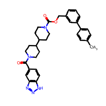 Cc1ccc(-c2cccc(COC(=O)N3CCC(C4CCN(C(=O)c5ccc6[nH]nnc6c5)CC4)CC3)c2)cc1